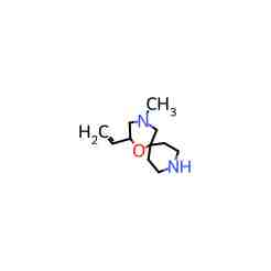 C=CC1CN(C)CC2(CCNCC2)O1